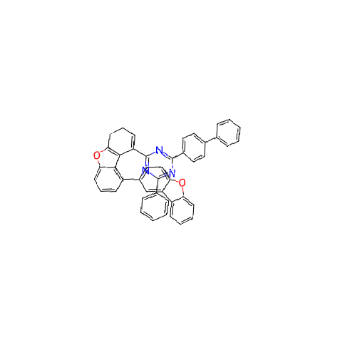 C1=C(c2nc(-c3ccccc3)nc(-c3ccc(-c4ccccc4)cc3)n2)c2c(oc3cccc(-c4ccc5oc6ccccc6c5c4)c23)CC1